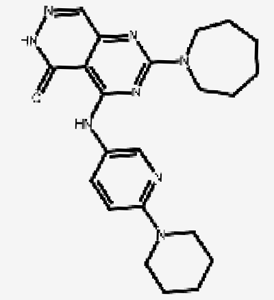 O=c1[nH]ncc2nc(N3CCCCCC3)nc(Nc3ccc(N4CCCCC4)nc3)c12